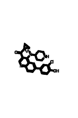 CN(c1c(C(=O)C2CC2)cnc2ccc(-c3ccc(O)c(Cl)c3)cc12)C1CCNCC1